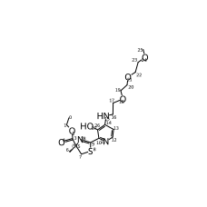 CCOC(=O)[C@@]1(C)CSC(c2nccc(NCCOCCOCCOC)c2O)=N1